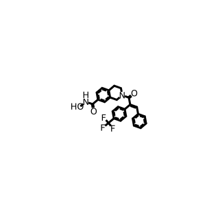 O=C(NO)c1ccc2c(c1)CN(C(=O)/C(=C/c1ccccc1)c1ccc(C(F)(F)F)cc1)CC2